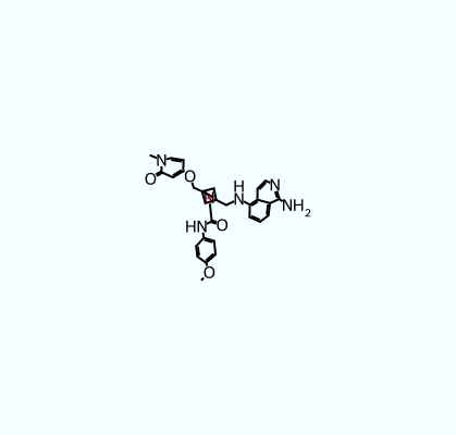 COc1ccc(NC(=O)N2CC3(COc4ccn(C)c(=O)c4)CC2(CNc2cccc4c(N)nccc24)C3)cc1